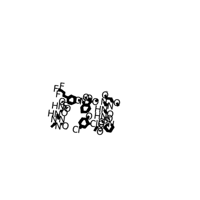 CCS(=O)(=O)c1cccnc1S(=O)(=O)NC(=O)Nc1nc(OC)cc(OC)n1.COC(=O)c1cc(Oc2ccc(Cl)cc2Cl)ccc1[N+](=O)[O-].COc1nc(C)nc(NC(=O)NS(=O)(=O)c2ccccc2CCC(F)(F)F)n1